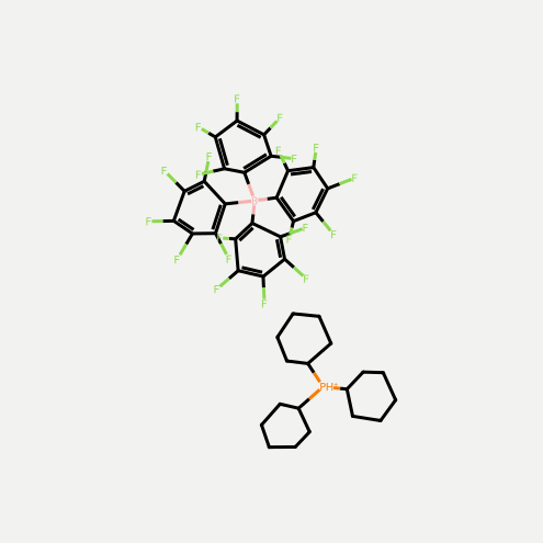 C1CCC([PH+](C2CCCCC2)C2CCCCC2)CC1.Fc1c(F)c(F)c([B-](c2c(F)c(F)c(F)c(F)c2F)(c2c(F)c(F)c(F)c(F)c2F)c2c(F)c(F)c(F)c(F)c2F)c(F)c1F